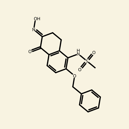 CS(=O)(=O)Nc1c(OCc2ccccc2)ccc2c1CCC(=NO)C2=O